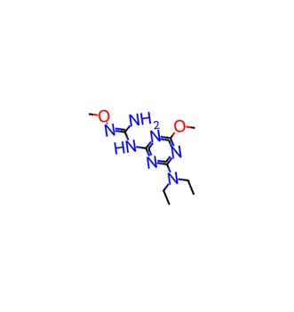 CCN(CC)c1nc(N/C(N)=N/OC)nc(OC)n1